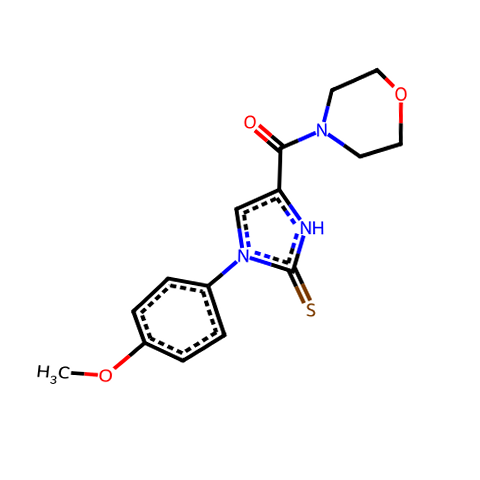 COc1ccc(-n2cc(C(=O)N3CCOCC3)[nH]c2=S)cc1